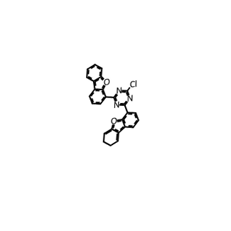 Clc1nc(-c2cccc3c4c(oc23)=CCCC=4)nc(-c2cccc3c2oc2ccccc23)n1